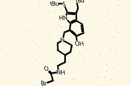 CC(C)(C)Cc1c(SC(C)(C)C)[nH]c2c(CN3CCC(CCNC(=O)CBr)CC3)c(O)ccc12